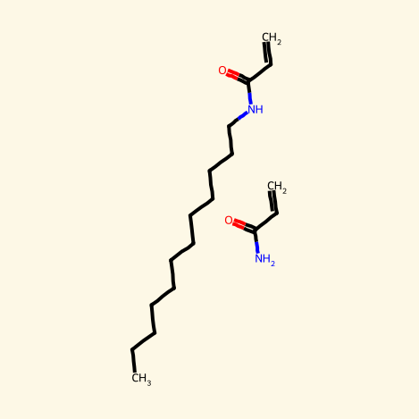 C=CC(=O)NCCCCCCCCCCCC.C=CC(N)=O